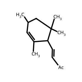 CC(=O)C=CC1C(C)=CC(C)CC1(C)C